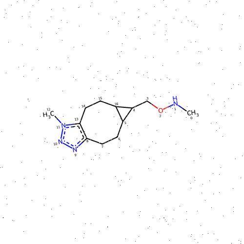 CNOCC1C2CCc3nnn(C)c3CCC21